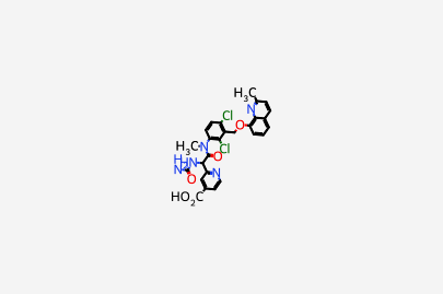 Cc1ccc2cccc(OCc3c(Cl)ccc(N(C)C(=O)C(NC(N)=O)c4cc(C(=O)O)ccn4)c3Cl)c2n1